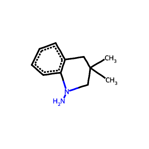 CC1(C)Cc2ccccc2N(N)C1